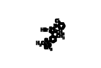 Br.Cc1ccc(S(=O)(=O)N(C)C)cc1-c1cs/c(=N/c2ccccc2Cl)n1C